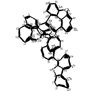 c1ccc(-c2nc(-c3cccc(-c4cccc5c4sc4ccccc45)c3)nc(-c3cccc4oc5cccc(-c6nc(-c7ccccc7)c7sc8ccccc8c7n6)c5c34)n2)cc1